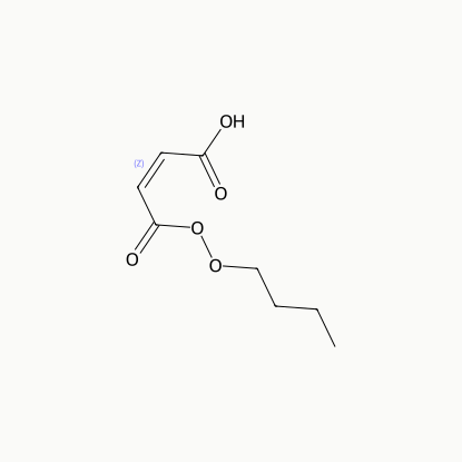 CCCCOOC(=O)/C=C\C(=O)O